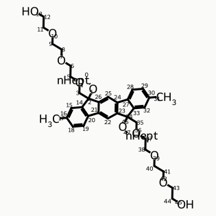 CCCCCCCOC1(COCCOCCOCCO)c2cc(C)ccc2-c2cc3c(cc21)-c1ccc(C)cc1C3(COCCOCCOCCO)OCCCCCCC